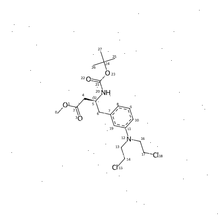 COC(=O)C[C@H](Cc1cccc(N(CCCl)CCCl)c1)NC(=O)OC(C)(C)C